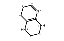 C1=NC2=C(CC1)NCCN2